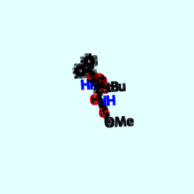 COCCOCCNC(=O)CC[C@H](NC(=O)OCC1c2ccccc2-c2ccccc21)C(=O)OC(C)(C)C